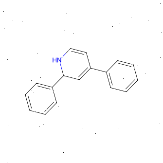 C1=CC(c2ccccc2)=CC(c2ccccc2)N1